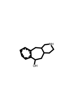 OC1CC2CCNCC2Cc2ccccc21